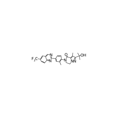 Cc1cc(-c2ncc3cc(C(F)(F)F)ccc3n2)ccc1N1CCn2nc(C(C)(C)O)c(C)c2C1=O